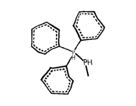 CP[PH](c1ccccc1)(c1ccccc1)c1ccccc1